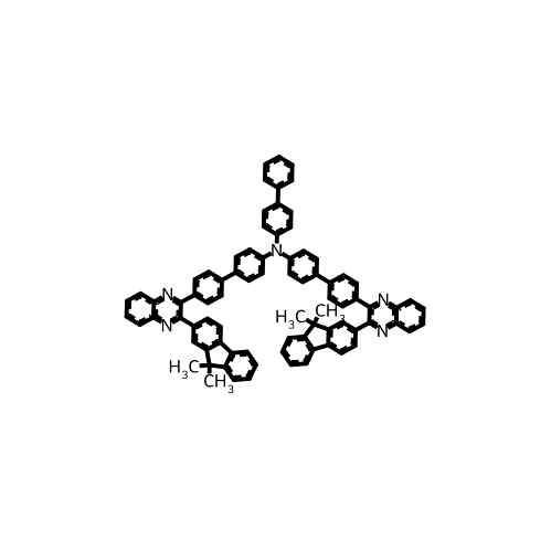 CC1(C)c2ccccc2-c2ccc(-c3nc4ccccc4nc3-c3ccc(-c4ccc(N(c5ccc(-c6ccccc6)cc5)c5ccc(-c6ccc(-c7nc8ccccc8nc7-c7ccc8c(c7)C(C)(C)c7ccccc7-8)cc6)cc5)cc4)cc3)cc21